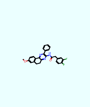 COc1ccc2c(c1)CCc1nc(NC(=O)Cc3ccc(F)c(F)c3)c(-c3ccccc3)nc1-2